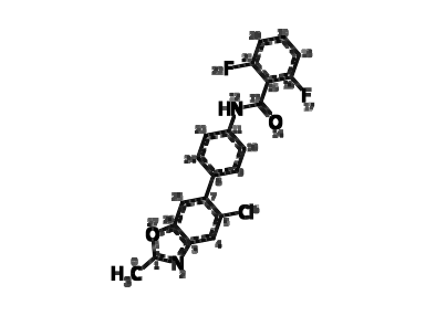 Cc1nc2cc(Cl)c(-c3ccc(NC(=O)c4c(F)cccc4F)cc3)cc2o1